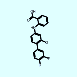 O=C(O)c1ccccc1Nc1ccc(-c2ccc(F)c(F)c2)c(Cl)c1